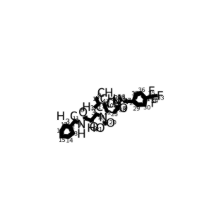 CCCC[C@@H](C(=O)C(=O)N[C@H](C)c1ccccc1)N(C(=O)O)[C@H](Cc1nnc(-c2ccc(C(F)(F)F)cc2)o1)C(C)(C)C